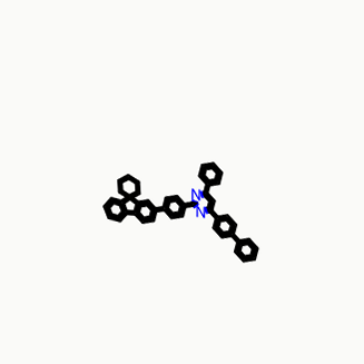 c1ccc(-c2ccc(-c3cc(-c4ccccc4)nc(-c4ccc(-c5ccc6c(c5)C5(CCCCC5)c5ccccc5-6)cc4)n3)cc2)cc1